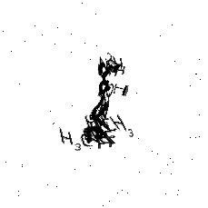 [2H]C([2H])([2H])Oc1cc(-c2ccc(-c3ccc(N(C)[C@@H]4[C@@H]5C[C@H]([C@@H]4F)N(C)C5)nn3)c(O)c2)ccn1